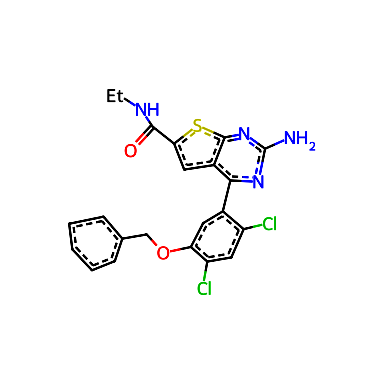 CCNC(=O)c1cc2c(-c3cc(OCc4ccccc4)c(Cl)cc3Cl)nc(N)nc2s1